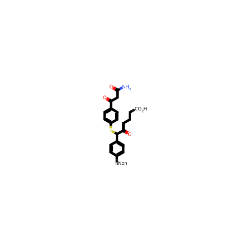 CCCCCCCCCc1ccc(C(Sc2ccc(C(=O)CC(N)=O)cc2)C(=O)CCCC(=O)O)cc1